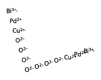 [Bi+3].[Bi+3].[Cu+2].[Cu+2].[O-2].[O-2].[O-2].[O-2].[O-2].[O-2].[O-2].[Pd+2].[Pd+2]